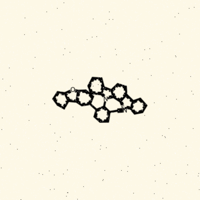 N#Cc1cccc(-c2ccc3oc4ccccc4c3c2)c1-n1c2ccccc2c2ccc3c4ccccc4sc3c21